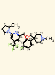 CC1CCCN1c1cc(C(F)(F)F)cc(COCC2(c3ccc(F)cc3)CCN(C)CC2)n1